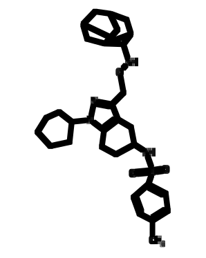 Cc1ccc(S(=O)(=O)NC2CCc3c(c(CONC4C5CC6CC(C5)CC4C6)nn3C3CCCCC3)C2)cc1